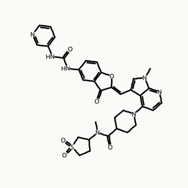 CN(C(=O)C1CCN(c2ccnc3c2c(C=C2Oc4ccc(NC(=O)Nc5cccnc5)cc4C2=O)cn3C)CC1)C1CCS(=O)(=O)C1